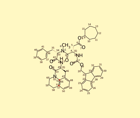 CN(C(=O)[C@H](CC(=O)OC1CCCCCC1)NC(=O)OCC1c2ccccc2-c2ccccc21)[C@@H](Cc1ccccc1)C(=O)N[C@@H](Cc1ccccc1)C(=O)N1CCCCC1